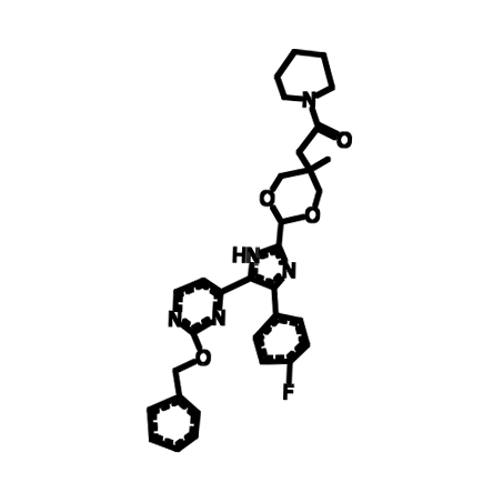 CC1(CC(=O)N2CCCCC2)COC(c2nc(-c3ccc(F)cc3)c(-c3ccnc(OCc4ccccc4)n3)[nH]2)OC1